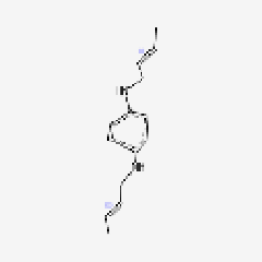 C/C=C/CNc1ccc(NC/C=C/C)cc1